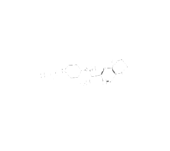 O=C(O)N1CC[C@@H](NCc2cc3c(cn2)OCCO3)[C@H](O)C1